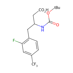 CC(C)(C)OC(=O)NC(CC(=O)O)Cc1ccc(C(F)(F)F)cc1F